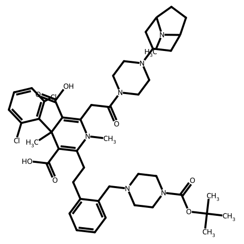 CN1C(CCc2ccccc2CN2CCN(C(=O)OC(C)(C)C)CC2)=C(C(=O)O)C(C)(c2c(Cl)cccc2Cl)C(C(=O)O)=C1CC(=O)N1CCN(C2CC3CCC(C2)N3C)CC1